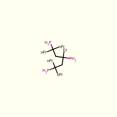 CCCC(P)(CCC)CC(P)(CC)CC(P)(CCC)CCC